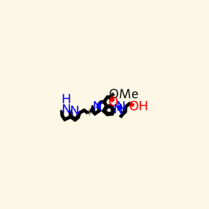 COC(=O)CC(CN1CC[C@@H](CCc2ccc3c(n2)NCCC3)C1)c1cccc(-n2nc(CO)cc2C)c1